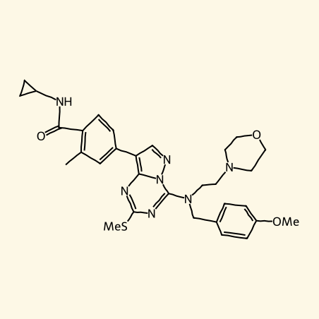 COc1ccc(CN(CCN2CCOCC2)c2nc(SC)nc3c(-c4ccc(C(=O)NC5CC5)c(C)c4)cnn23)cc1